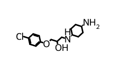 N[C@H]1CC[C@H](NCC(O)COc2ccc(Cl)cc2)CC1